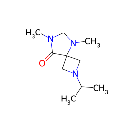 CC(C)N1CC2(C1)C(=O)N(C)CN2C